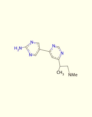 CNCC(C)c1cc(-c2cnc(N)nc2)ncn1